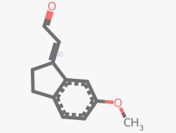 COc1ccc2c(c1)/C(=C/C=O)CC2